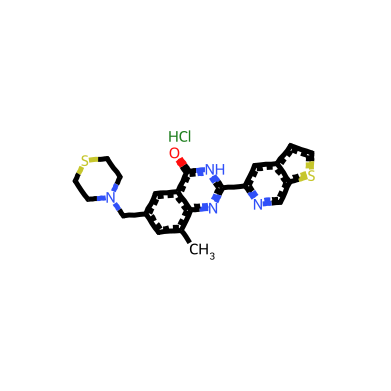 Cc1cc(CN2CCSCC2)cc2c(=O)[nH]c(-c3cc4ccsc4cn3)nc12.Cl